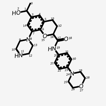 CC(O)c1cc2c(c(N3CCNCC3)c1)OC(C(=O)Nc1ccc(N3CCOCC3)cc1)CC2